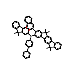 CC1(C)c2ccccc2-c2ccc(N(c3ccc(-c4ccccc4)cc3)c3cc4c(cc3-c3ccc5ccccc5c3)C(C)(C)c3cc5c(cc3-4)C(C)(C)c3ccccc3-5)cc21